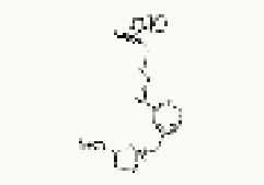 O=CNCCCOc1cccc(CN2CCC(O)C2)c1